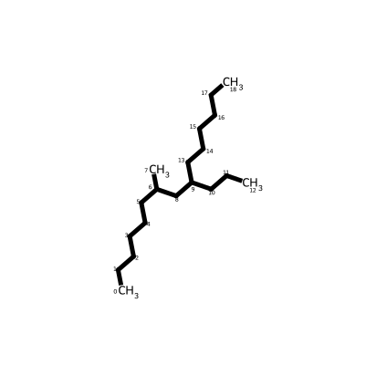 CCCCCCC(C)CC(CCC)CCCCCC